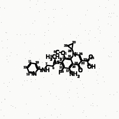 COc1c([As](C)CCNc2ccccn2)c(F)c(N)c2c(=O)c(C(=O)O)cn(C3CC3)c12